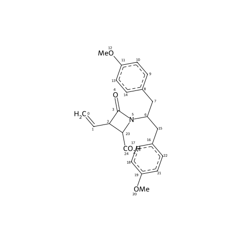 C=CC1C(=O)N(C(Cc2ccc(OC)cc2)Cc2ccc(OC)cc2)C1C(=O)O